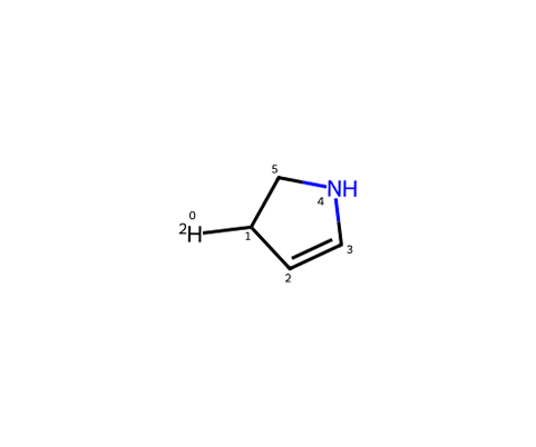 [2H]C1C=CNC1